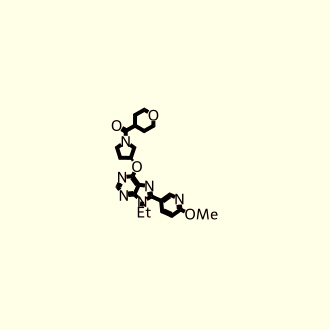 CCn1c(-c2ccc(OC)nc2)nc2c(O[C@H]3CCN(C(=O)C4CCOCC4)C3)ncnc21